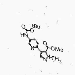 COC(=O)c1c(-c2ccc(NC(=O)OC(C)(C)C)cn2)cnn1C